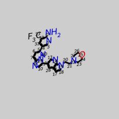 Nc1ncc(-c2ccc3ncc(-c4cnc5c(ccn5CCN5CCOCC5)c4)n3n2)cc1C(F)(F)F